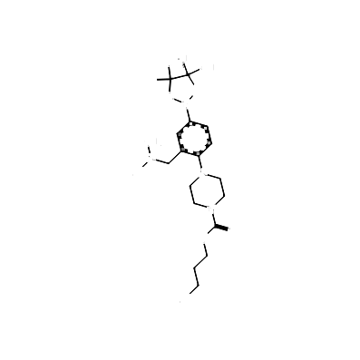 CCCCOC(=O)N1CCN(c2ccc(B3OC(C)(C)C(C)(C)O3)cc2CN(C)C)CC1